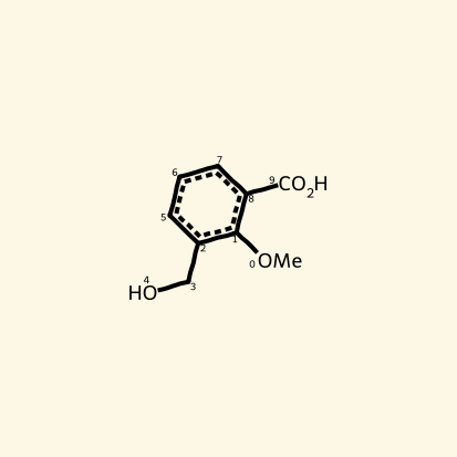 COc1c(CO)cccc1C(=O)O